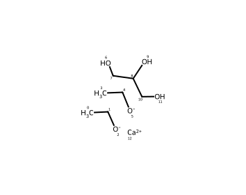 CC[O-].CC[O-].OCC(O)CO.[Ca+2]